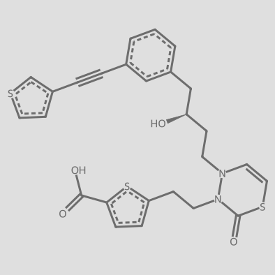 O=C(O)c1ccc(CCN2C(=O)SC=CN2CC[C@@H](O)Cc2cccc(C#Cc3ccsc3)c2)s1